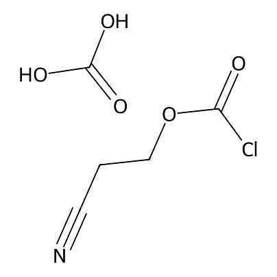 N#CCCOC(=O)Cl.O=C(O)O